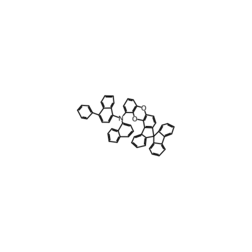 c1ccc(-c2ccc(N(c3cccc4c3Oc3c(ccc5c3-c3ccccc3C53c5ccccc5-c5ccccc53)O4)c3cccc4ccccc34)c3ccccc23)cc1